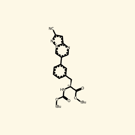 CC(C)(C)OC(=O)N[C@@H](Cc1cccc(-c2cnc3cc(C#N)nn3c2)c1)C(=O)OC(C)(C)C